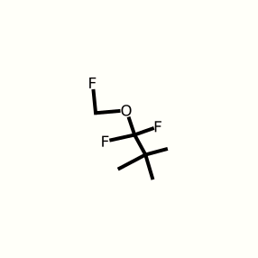 CC(C)(C)C(F)(F)OCF